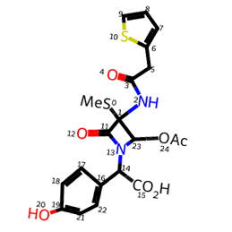 CSC1(NC(=O)Cc2cccs2)C(=O)N(C(C(=O)O)c2ccc(O)cc2)C1OC(C)=O